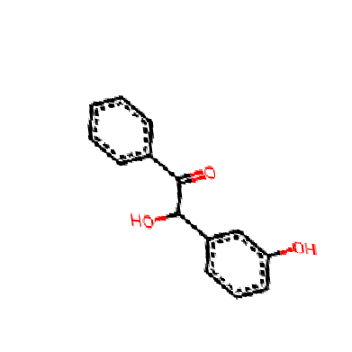 O=C(c1ccccc1)C(O)c1cccc(O)c1